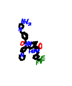 NC1CCN(Cc2cccc(C(=O)Nc3ccc(N4CCCCC4)cc3-c3cc(C(=O)NCc4cccc(C(F)(F)F)c4)ccn3)c2)CC1